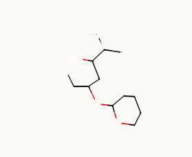 CCCCCCCCCCCC(CC(O)[C@@H](CCCCCC)C(=O)O)OC1CCCCO1